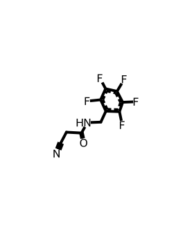 N#CCC(=O)NCc1c(F)c(F)c(F)c(F)c1F